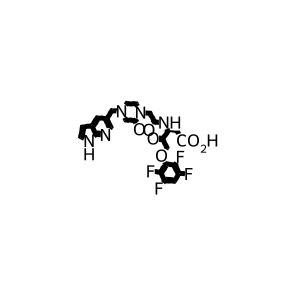 O=C(O)C[C@H](NC(=O)CN1CCN(Cc2cnc3[nH]ccc3c2)CC1=O)C(=O)COc1c(F)c(F)cc(F)c1F